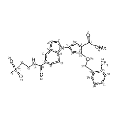 COC(=O)c1sc(-n2cnc3cc(C(=O)NCCS(C)(=O)=O)ccc32)cc1OCc1ccccc1C(F)(F)F